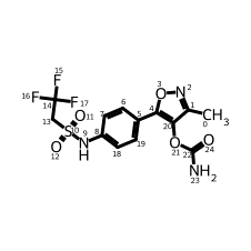 Cc1noc(-c2ccc(NS(=O)(=O)CC(F)(F)F)cc2)c1OC(N)=O